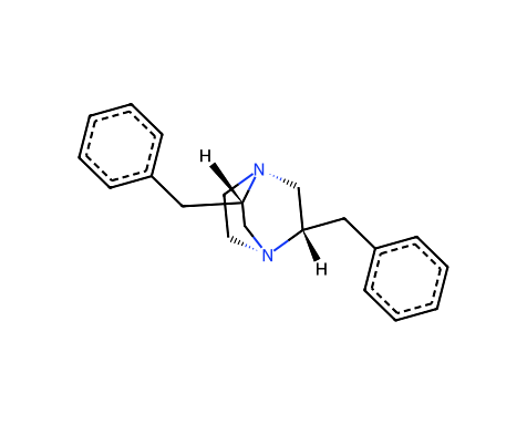 c1ccc(C[C@H]2C[N@@]3CC[N@]2C[C@@H]3Cc2ccccc2)cc1